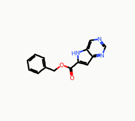 O=C(OCc1ccccc1)c1cc2ncncc2[nH]1